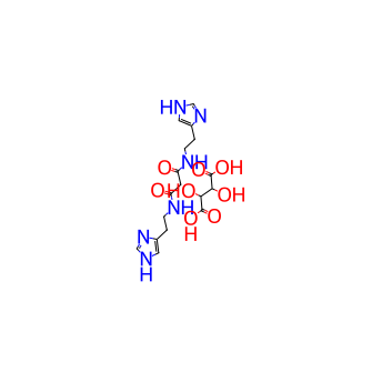 O=C(CC(=O)NCCc1c[nH]cn1)NCCc1c[nH]cn1.O=C(O)C(O)C(O)C(=O)O